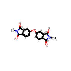 CCN1C(=O)c2ccc(Oc3ccc4c(c3)C(=O)N(C)C4=O)cc2C1=O